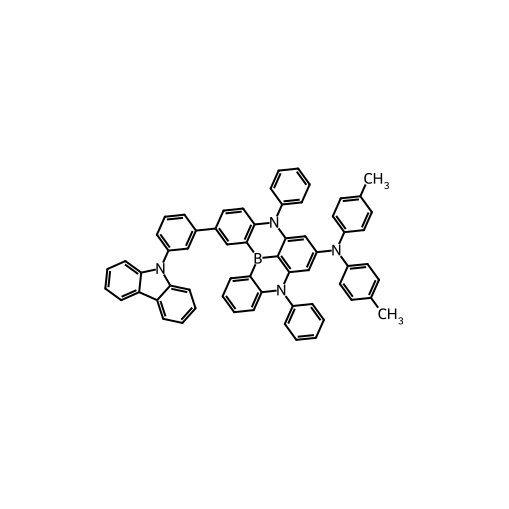 Cc1ccc(N(c2ccc(C)cc2)c2cc3c4c(c2)N(c2ccccc2)c2ccc(-c5cccc(-n6c7ccccc7c7ccccc76)c5)cc2B4c2ccccc2N3c2ccccc2)cc1